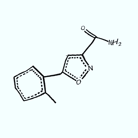 Cc1ccccc1-c1[c]c(C(N)=O)no1